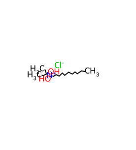 CCCCCCCCCCCC[N+](O)(O)C(CC)CC.[Cl-]